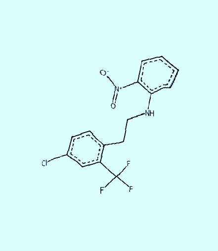 O=[N+]([O-])c1ccccc1NCCc1ccc(Cl)cc1C(F)(F)F